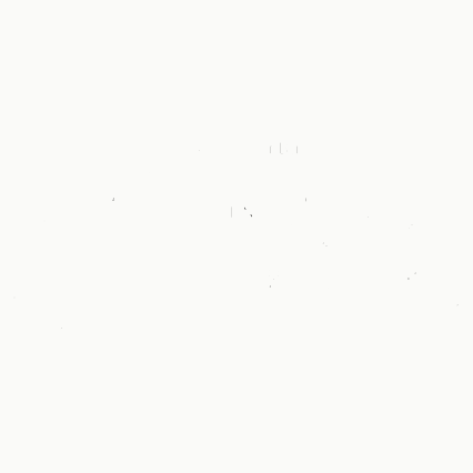 CCCCC(CC#Cc1ccccc1)NS(=O)(=O)c1ccc(C)cc1